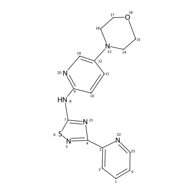 c1ccc(-c2nsc(Nc3ccc(N4CCOCC4)cn3)n2)nc1